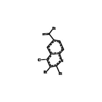 C=C(CC)c1ccc2nc(CC)c(CC)c(Cl)c2c1